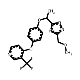 COCc1noc(C(C)Oc2ccc(Oc3ccncc3C(F)(F)F)cc2)n1